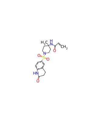 C=CC(=O)NC1(C)CCN(S(=O)(=O)c2ccc3c(c2)CCC(=O)N3)CC1